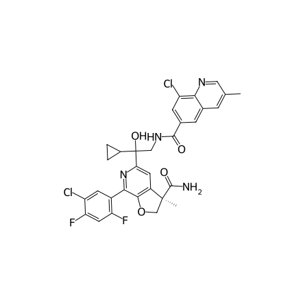 Cc1cnc2c(Cl)cc(C(=O)NCC(O)(c3cc4c(c(-c5cc(Cl)c(F)cc5F)n3)OC[C@]4(C)C(N)=O)C3CC3)cc2c1